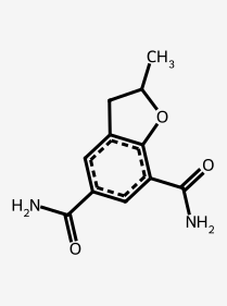 CC1Cc2cc(C(N)=O)cc(C(N)=O)c2O1